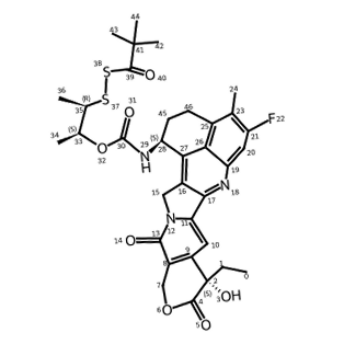 CC[C@@]1(O)C(=O)OCc2c1cc1n(c2=O)Cc2c-1nc1cc(F)c(C)c3c1c2[C@@H](NC(=O)O[C@@H](C)[C@@H](C)SSC(=O)C(C)(C)C)CC3